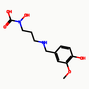 COc1cc(CNCCCN(O)C(=O)O)ccc1O